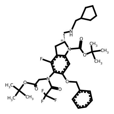 CC(C)(C)OC(=O)CN(C(=O)C(F)(F)F)c1c(OCc2ccccc2)cc2c(c1F)C[C@H](CNCC1CCCC1)N2C(=O)OC(C)(C)C